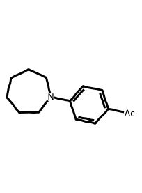 CC(=O)c1ccc(N2CCCCCC2)cc1